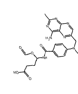 Cc1nc(N)c2nc(CN(C)c3ccc(C(=O)NC(CCC(=O)O)OC=O)cc3)cnc2n1